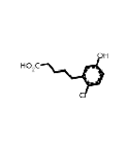 O=C(O)CCCCc1cc(O)ccc1Cl